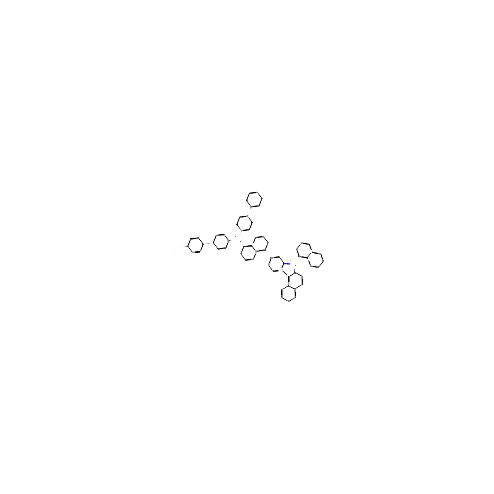 [2H]c1c([2H])c([2H])c(-c2ccc(N(c3ccc(-c4ccccc4)cc3)c3cccc4c(-c5ccc6c7c8ccccc8ccc7n(-c7cccc8ccccc78)c6c5)cccc34)cc2)c([2H])c1[2H]